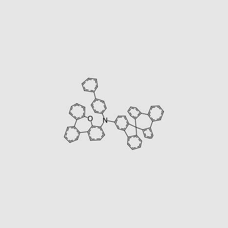 c1ccc(-c2ccc(N(c3ccc4c(c3)-c3ccccc3C43c4ccccc4-c4ccccc4-c4ccccc43)c3cccc4c3Oc3ccccc3-c3ccccc3-4)cc2)cc1